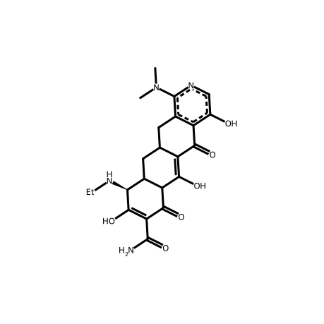 CCN[C@@H]1C(O)=C(C(N)=O)C(=O)C2C(O)=C3C(=O)c4c(O)cnc(N(C)C)c4CC3CC21